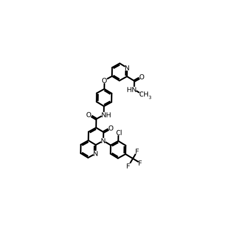 CNC(=O)c1cc(Oc2ccc(NC(=O)c3cc4cccnc4n(-c4ccc(C(F)(F)F)cc4Cl)c3=O)cc2)ccn1